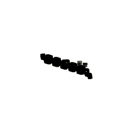 C=CC1CCC(C2CCC(C3CCC(c4ccc(-c5ccc(OCCC)c(F)c5F)cc4)OC3)CC2)CC1